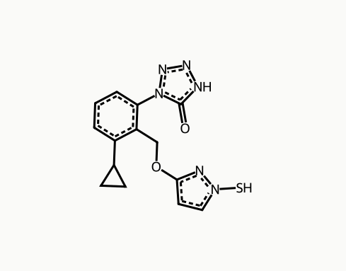 O=c1[nH]nnn1-c1cccc(C2CC2)c1COc1ccn(S)n1